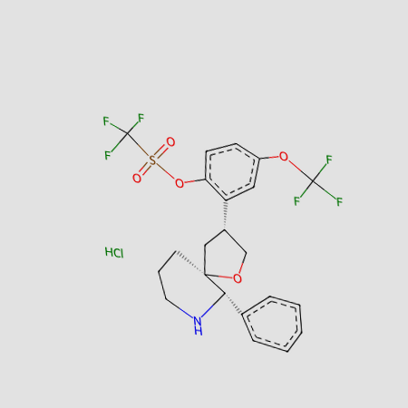 Cl.O=S(=O)(Oc1ccc(OC(F)(F)F)cc1[C@@H]1CO[C@]2(CCCN[C@H]2c2ccccc2)C1)C(F)(F)F